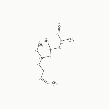 C/C=C\CCN(CC)CC(O)CN(C)C=O